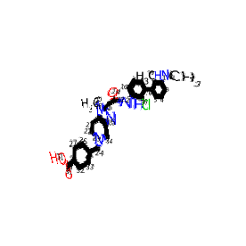 CNc1cccc(-c2cccc(NC(=O)c3nc4c(n3C)CCN(CC3CCC(C(=O)O)CC3)C4)c2Cl)c1C